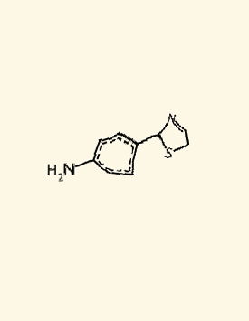 Nc1ccc(C2N=CCS2)cc1